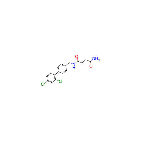 NC(=O)CCC(=O)NCc1ccc(-c2ccc(Cl)cc2Cl)cc1